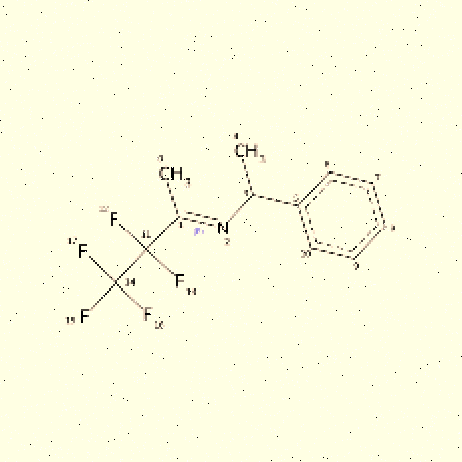 C/C(=N\C(C)c1ccccc1)C(F)(F)C(F)(F)F